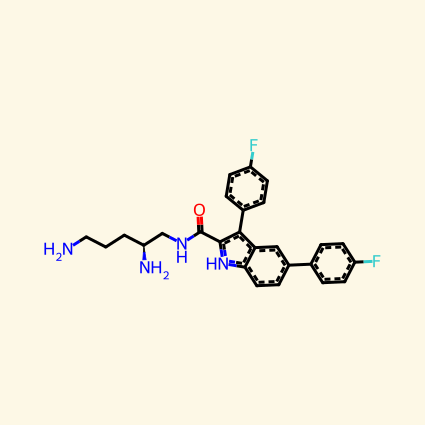 NCCC[C@H](N)CNC(=O)c1[nH]c2ccc(-c3ccc(F)cc3)cc2c1-c1ccc(F)cc1